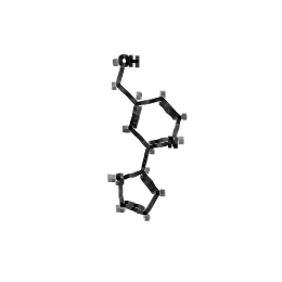 OCc1ccnc(-c2cccs2)c1